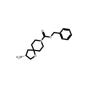 N[C@H]1COC2(CCN(C(=O)OCc3ccccc3)CC2)C1